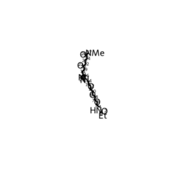 CCC(=O)NCCOCCOCCOCCn1cc(CCC(=O)CCCC(=O)NC)nn1